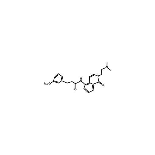 COc1cccc(CCC(=O)Nc2cccc3c(=O)n(CCN(C)C)ccc23)c1